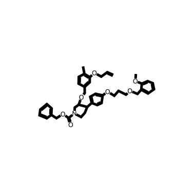 C=CCOc1cc(COC2CN(C(=O)OCc3ccccc3)CCC2c2ccc(OCCCOCc3ccccc3OC)cc2)ccc1C